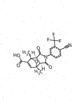 C[C@@]12C=C(C(=O)O)[C@@](C)(O1)[C@H]1C(=O)N(c3ccc(C#N)c(C(F)(F)F)c3)C(=O)[C@H]12